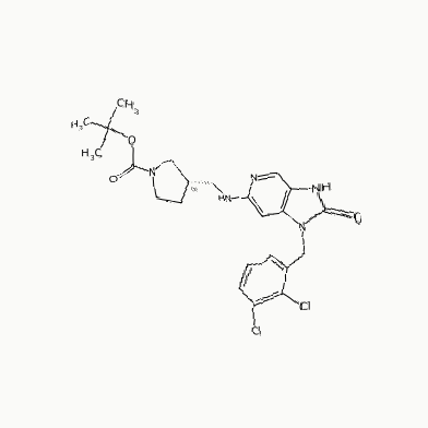 CC(C)(C)OC(=O)N1CC[C@@H](CNc2cc3c(cn2)[nH]c(=O)n3Cc2cccc(Cl)c2Cl)C1